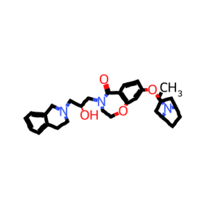 CCN1C2CCC1CC(Oc1ccc3c(c1)OCCN(C[C@H](O)CN1CCc4ccccc4C1)C3=O)C2